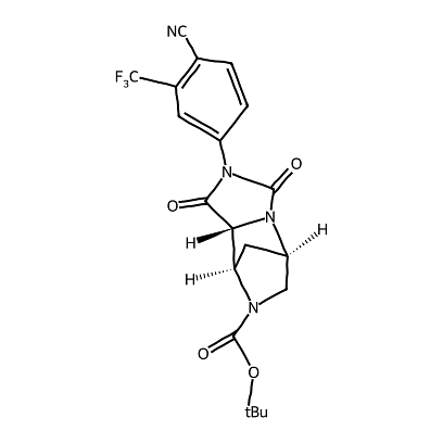 CC(C)(C)OC(=O)N1C[C@H]2C[C@@H]1[C@@H]1C(=O)N(c3ccc(C#N)c(C(F)(F)F)c3)C(=O)N21